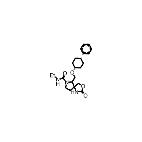 CCNC(=O)N1CCC2(COC(=O)N2)C1CO[C@H]1CC[C@@H](c2ccccc2)CC1